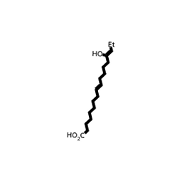 CCC=C(O)CCCCC=CCCCCCCCC(=O)O